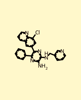 Nc1nc(-c2ccccc2)c(-c2cc(Cl)c3ncccc3c2)nc1NCc1cccnc1